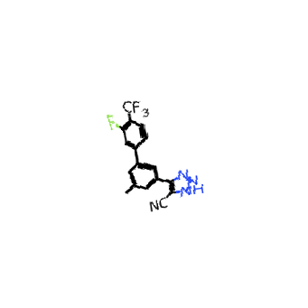 Cc1cc(-c2ccc(C(F)(F)F)c(F)c2)cc(-c2nn[nH]c2C#N)c1